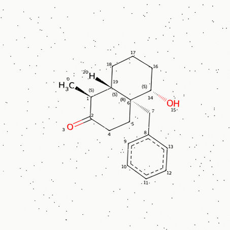 C[C@@H]1C(=O)CC[C@]2(Cc3ccccc3)[C@@H](O)CCC[C@@H]12